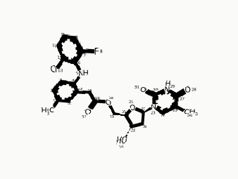 Cc1ccc(Nc2c(F)cccc2Cl)c(CC(=O)OC[C@H]2O[C@@H](n3cc(C)c(=O)[nH]c3=O)C[C@@H]2O)c1